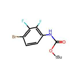 CC(C)(C)OC(=O)Nc1ccc(Br)c(F)c1F